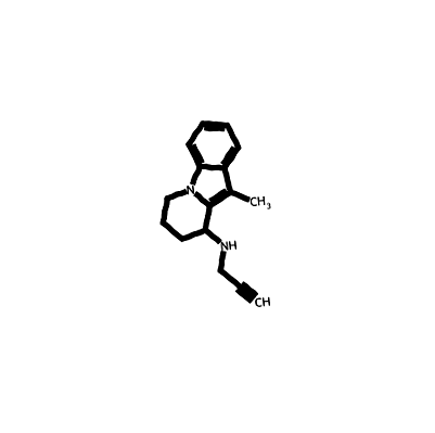 C#CCNC1CCCn2c1c(C)c1ccccc12